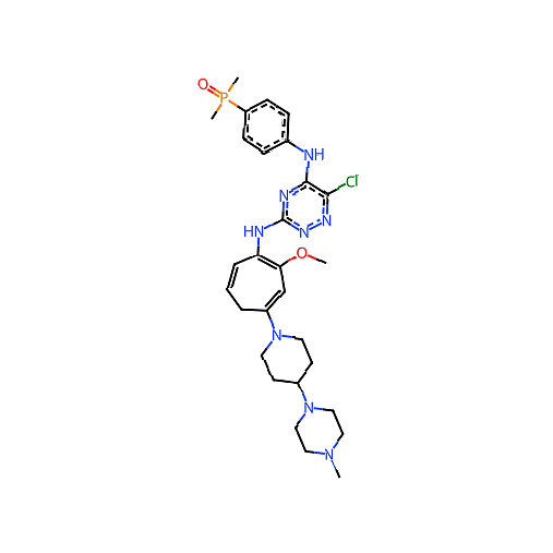 COC1=C(Nc2nnc(Cl)c(Nc3ccc(P(C)(C)=O)cc3)n2)C=CCC(N2CCC(N3CCN(C)CC3)CC2)=C1